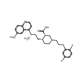 COc1ccc2nccc([C@@H](N)CC[C@@H]3CCN(CCSc4cc(F)ccc4F)C[C@@H]3C(=O)O)c2c1